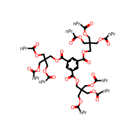 CCCC(=O)OCC(COC(=O)CCC)(COC(=O)CCC)COC(=O)c1cc(C(=O)OCC(COC(=O)CCC)(COC(=O)CCC)COC(=O)CCC)cc(C(=O)OCC(COC(=O)CCC)(COC(=O)CCC)COC(=O)CCC)c1